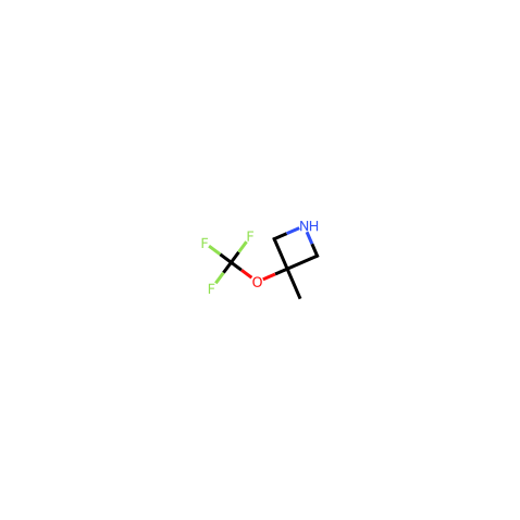 CC1(OC(F)(F)F)CNC1